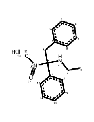 CCNC(Cc1ccccc1)(c1ccccc1)[N+](=O)[O-].Cl